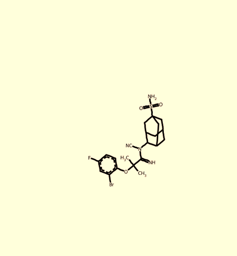 CC(C)(Oc1ccc(F)cc1Br)C(=N)N(C#N)C1C2CC3CC1CC(S(N)(=O)=O)(C3)C2